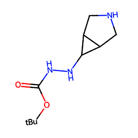 CC(C)(C)OC(=O)NNC1C2CNCC21